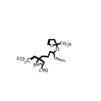 CCCCCCCCCC(CCCC(CC=O)(CC(=O)OCC)NC)OC1(C(=O)O)CC=CO1